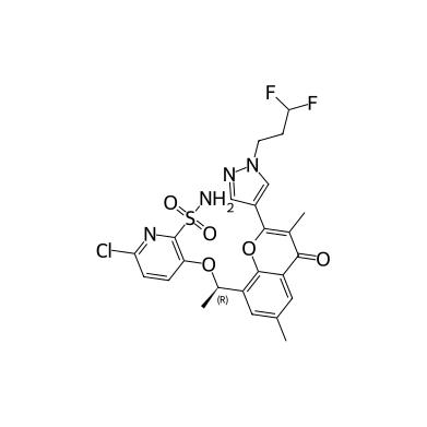 Cc1cc([C@@H](C)Oc2ccc(Cl)nc2S(N)(=O)=O)c2oc(-c3cnn(CCC(F)F)c3)c(C)c(=O)c2c1